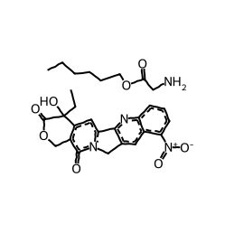 CCC1(O)C(=O)OCc2c1cc1n(c2=O)Cc2cc3c([N+](=O)[O-])cccc3nc2-1.CCCCCCOC(=O)CN